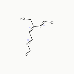 C=C/N=C/C=C(\C=C\Cl)CO